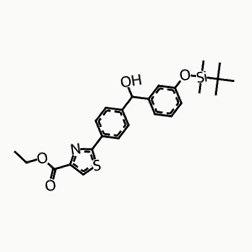 CCOC(=O)c1csc(-c2ccc(C(O)c3cccc(O[Si](C)(C)C(C)(C)C)c3)cc2)n1